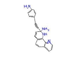 Nc1ccc(C#CC2(N)C=Cc3ccc4cccnc4c3N2)cc1